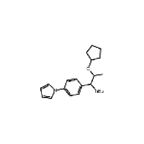 CCCCC(c1ccc(-n2cccc2)cc1)C(C)OC1CCCC1